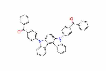 O=C(c1ccccc1)c1ccc(-n2c3ccccc3c3c4c5ccccc5n(-c5ccc(C(=O)c6ccccc6)cc5)c4ccc32)cc1